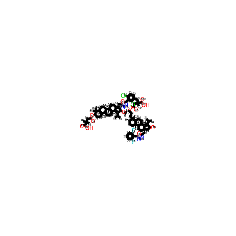 CC[C@H](CC[C@@]1(C)[C@H](C)CC[C@]2(C)[C@@H]1CC[C@@H]1C3=C(C(C)C)C(=O)C[C@]3(Cc3nnc(-c4c(F)cccc4F)o3)CC[C@]12C)OC(=O)CC(C)(Cc1ccc(Cl)c(-c2nnc(C[C@@]34CC[C@]5(C)[C@H](CC[C@@H]6[C@@]7(C)CC[C@H](OC(=O)CC(C)(C)C(=O)O)C(C)(C)[C@@H]7CC[C@]65C)C3=C(C(C)C)C(=O)C4)o2)c1Cl)C(=O)O